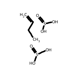 C=CCC.O=S(O)O.O=S(O)O